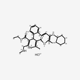 CCOC(=O)C1=C(C)NC(CNC)=C(C(=O)OCC)C1c1ccccc1C=CC(=O)OC1CCCCC1.Cl